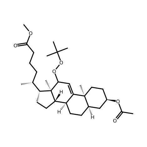 COC(=O)CCC[C@@H](C)[C@H]1CC[C@H]2[C@@H]3CC[C@@H]4C[C@H](OC(C)=O)CC[C@]4(C)C3=CC(OOC(C)(C)C)[C@]12C